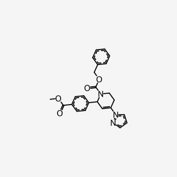 COC(=O)c1ccc(C2C=C(n3cccn3)CCN2C(=O)OCc2ccccc2)cc1